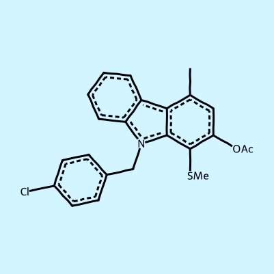 CSc1c(OC(C)=O)cc(C)c2c3ccccc3n(Cc3ccc(Cl)cc3)c12